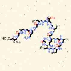 CCC(C)C(CNCC(=O)N[C@H](CNCN[C@H](CNCC(N)=O)CC(C)C)CC(C)C)NC(=O)CNC[C@H](CCCN)NC(=O)CNC[C@H](CC(C)C)NCNCC(NCNC[C@H](CC(C)C)NC(=O)CNC[C@H](CCCN)NC(=O)CNC[C@H](C)NC(=O)CNC[C@H](CCC(=O)O)NC)C(C)O